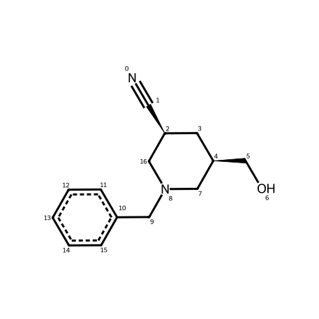 N#C[C@H]1C[C@@H](CO)CN(Cc2ccccc2)C1